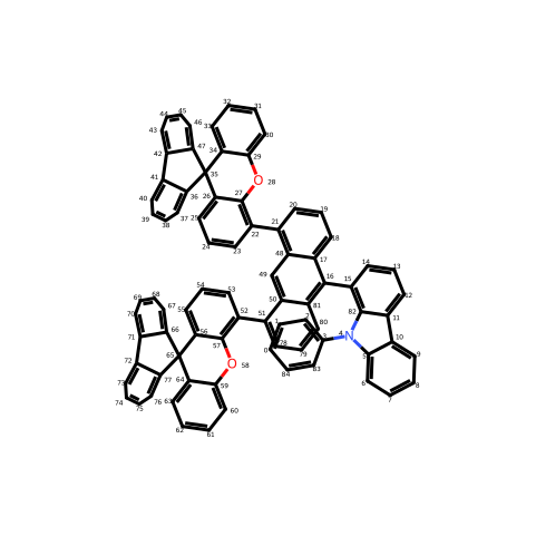 c1ccc(-n2c3ccccc3c3cccc(-c4c5cccc(-c6cccc7c6Oc6ccccc6C76c7ccccc7-c7ccccc76)c5cc5c(-c6cccc7c6Oc6ccccc6C76c7ccccc7-c7ccccc76)cccc45)c32)cc1